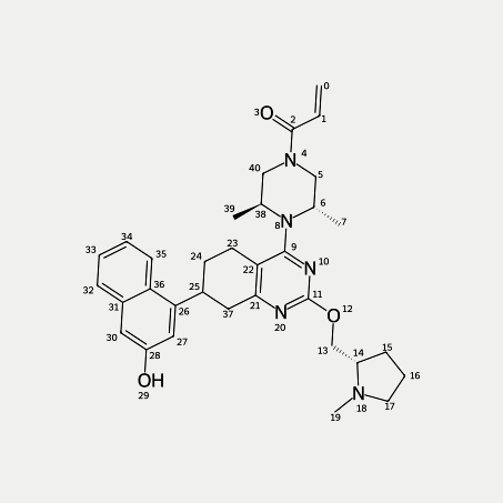 C=CC(=O)N1C[C@H](C)N(c2nc(OC[C@@H]3CCCN3C)nc3c2CCC(c2cc(O)cc4ccccc24)C3)[C@@H](C)C1